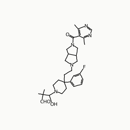 Cc1ncnc(C)c1C(=O)N1CC2CN(CCC3(c4cccc(F)c4)CCN(C(O)C(C)(C)C=O)CC3)CC2C1